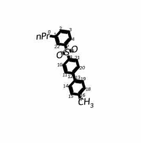 CCCc1cccc(S(=O)(=O)c2ccc(-c3ccc(C)cc3)cc2)c1